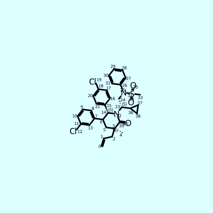 C=CC[C@@]1(C)CC(c2cccc(Cl)c2)[C@@H](c2ccc(Cl)cc2)N([C@H](CN(c2ccccc2)S(C)(=O)=O)C2CC2)C1=O